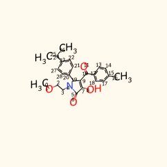 COCCN1C(=O)C(O)=C(C(=O)c2ccc(C)cc2)C1c1ccc(C(C)C)cc1